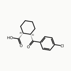 O=C(c1ccc(Cl)cc1)[C@H]1CCCC[C@H]1C(=O)O